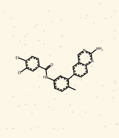 Cc1ccc(NC(=O)c2ccc(Cl)c(Cl)c2)cc1-c1ccc2nc(N)ncc2c1